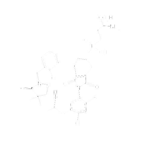 C#CC(C)Oc1cc(N2C(=O)C3=C(CCCC3)C2=O)c(F)cc1Cl.CC1(C)CON(Cc2ccccc2Cl)C1=O.CP(=O)(O)CCC(N)C(=O)O